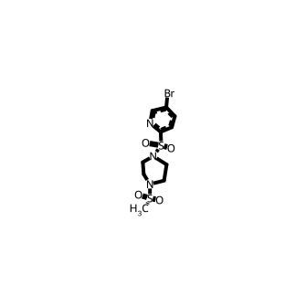 CS(=O)(=O)N1CCN(S(=O)(=O)c2ccc(Br)cn2)CC1